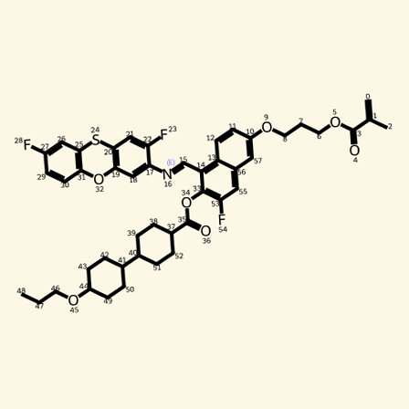 C=C(C)C(=O)OCCCOc1ccc2c(/C=N/c3cc4c(cc3F)Sc3cc(F)ccc3O4)c(OC(=O)C3CCC(C4CCC(OCCC)CC4)CC3)c(F)cc2c1